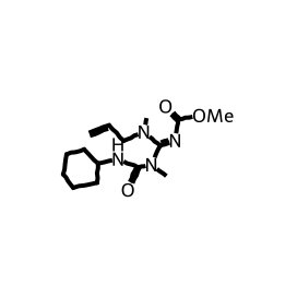 C=CCN(C)C(=NC(=O)OC)N(C)C(=O)NC1CCCCC1